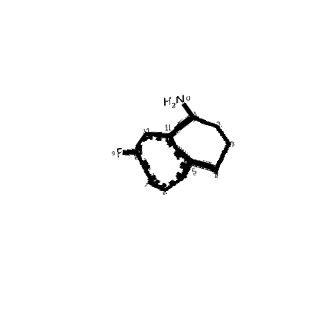 NC1CCCc2ccc(F)cc21